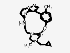 Cc1ccc2cc1-c1cnn3ccc(nc13)NCCN1C[C@@H](C)N(CC3CC3)C[C@H]1CO2